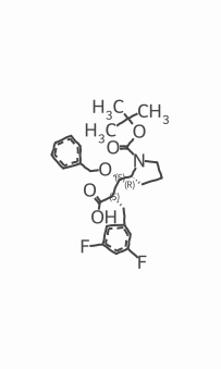 CC(C)(C)OC(=O)N1CCC[C@@H]1[C@@H](OCc1ccccc1)[C@H](Cc1cc(F)cc(F)c1)C(=O)O